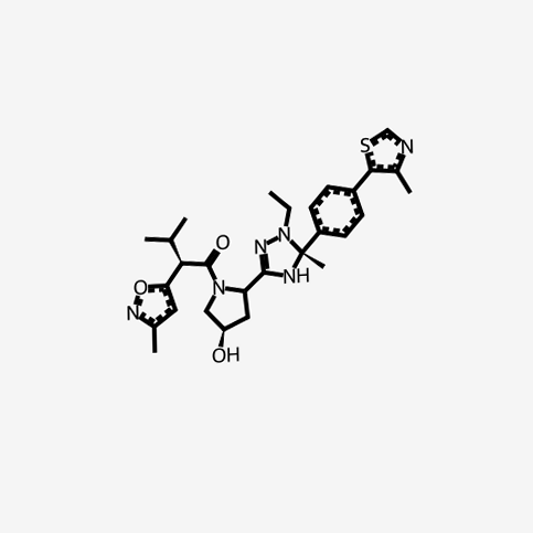 CCN1N=C(C2C[C@@H](O)CN2C(=O)[C@@H](c2cc(C)no2)C(C)C)N[C@@]1(C)c1ccc(-c2scnc2C)cc1